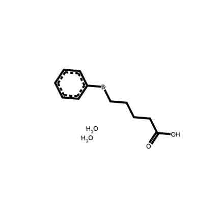 O.O.O=C(O)CCCC[B]c1ccccc1